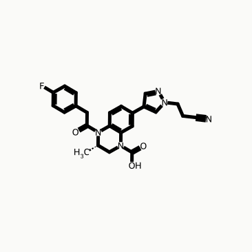 C[C@H]1CN(C(=O)O)c2cc(-c3cnn(CCC#N)c3)ccc2N1C(=O)Cc1ccc(F)cc1